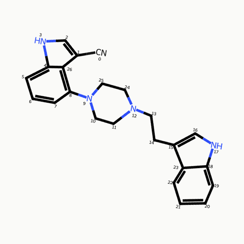 N#Cc1c[nH]c2cccc(N3CCN(CCc4c[nH]c5ccccc45)CC3)c12